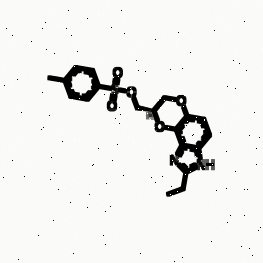 CCc1nc2c3c(ccc2[nH]1)OC[C@H](COS(=O)(=O)c1ccc(C)cc1)O3